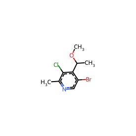 COC(C)c1c(Br)cnc(C)c1Cl